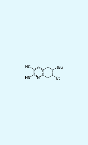 CCC1Cc2nc(S)c(C#N)cc2CC1C(C)(C)C